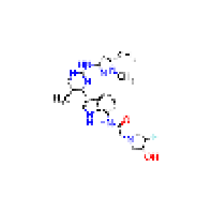 Cc1cnc(Nc2cc(C)n(C)n2)nc1-c1c[nH]c2c(NC(=O)CN3C[C@@H](F)[C@@H](O)C3)cccc12